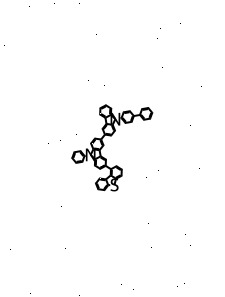 c1ccc(-c2ccc(-n3c4ccccc4c4cc(-c5ccc6c(c5)c5cc(-c7cccc8sc9ccccc9c78)ccc5n6-c5ccccc5)ccc43)cc2)cc1